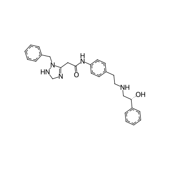 O=C(CC1=NCNN1Cc1ccccc1)Nc1ccc(CCNC[C@H](O)c2ccccc2)cc1